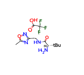 Cc1nc(CNC(=O)[C@@H](N)C(C)(C)C)no1.O=C(O)C(F)(F)F